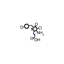 COc1ccc(Cn2nc(/C=C/C(=O)O)c(N)c(Cl)c2=O)cc1